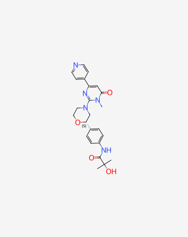 Cn1c(N2CCO[C@@H](c3ccc(NC(=O)C(C)(C)O)cc3)C2)nc(-c2ccncc2)cc1=O